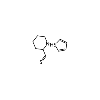 S=CC1CCCCN1[SH]1C=CC=C1